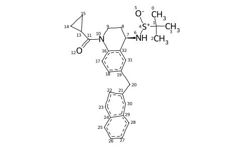 CC(C)(C)[S+]([O-])N[C@@H]1CCN(C(=O)C2CC2)c2ccc(Cc3ccc4ccccc4c3)cc21